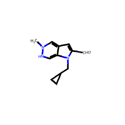 CN1C=c2cc(C=O)n(CC3CC3)c2=CN1